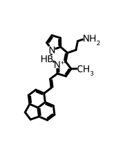 CC1=CC(/C=C/c2ccc3c4c(cccc24)CC3)=[N+]2Bn3cccc3C(CCN)=C12